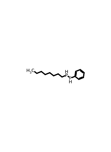 CCCCCCCCPPc1ccccc1